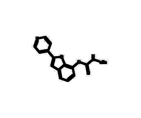 CCCCNC(=O)Oc1cccc2cc(-c3ccncc3)oc12